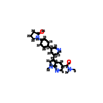 CN(C)C(=O)c1cnc2c(c1)c(-c1cncc(-c3ccc(N4CCCC4=O)cc3)c1)cn2C